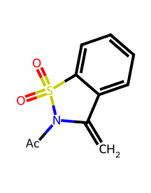 C=C1c2ccccc2S(=O)(=O)N1C(C)=O